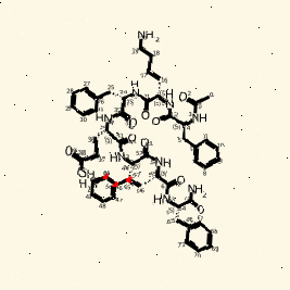 CC(=O)N[C@@H](Cc1ccccc1)C(=O)N[C@@H](CCCCN)C(=O)N[C@@H](Cc1ccccc1)C(=O)N[C@@H](CCC(=O)O)C(=O)N[C@@H](Cc1ccccc1)C(=O)N[C@@H](CCCCN)C(=O)N[C@@H](Cc1ccccc1)C(N)=O